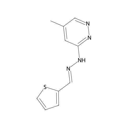 Cc1cnnc(NN=Cc2cccs2)c1